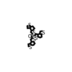 O=P(c1cc2c(ccc3sccc32)s1)(c1cc2c(ccc3sccc32)s1)c1cc2c(ccc3sccc32)s1